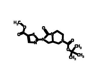 COC(=O)c1cnc(N2CC3CN(C(=O)OC(C)(C)C)CCN3C2=O)s1